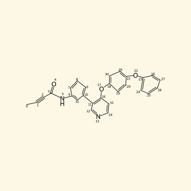 CC#CC(=O)Nc1cccc(-c2cnccc2Oc2ccc(Oc3ccccc3)cc2)c1